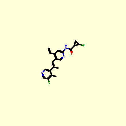 C=Cc1cc(NC(=O)C2CC2F)ncc1/C=C(\C)c1cncc(F)c1C